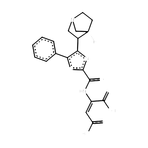 O=C(O)/C=C(/NC(=O)c1nc(C2CN3CC[C@@H]2C3)c(-c2ccccc2)o1)C(=O)O